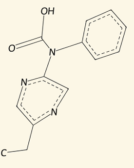 CCc1cnc(N(C(=O)O)c2ccccc2)cn1